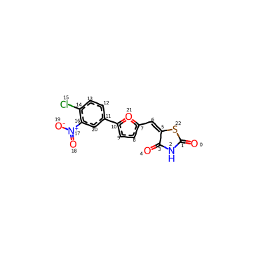 O=C1NC(=O)/C(=C\c2ccc(-c3ccc(Cl)c([N+](=O)[O-])c3)o2)S1